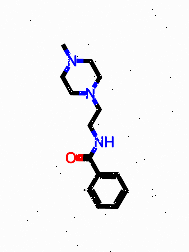 CN1CCN(CCNC(=O)c2[c]cccc2)CC1